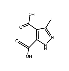 O=C(O)c1[nH]nc(I)c1C(=O)O